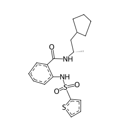 C[C@@H](CC1CCCC1)NC(=O)c1ccccc1NS(=O)(=O)c1cccs1